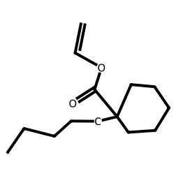 C=COC(=O)C1(CCCCC)CCCCC1